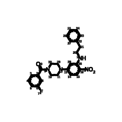 O=C(c1cccc(F)c1)N1CCN(c2ccc([N+](=O)[O-])c(NCCc3ccccc3)c2)CC1